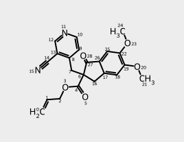 C=CCOC(=O)C1(Cc2ccncc2C#N)Cc2cc(OC)c(OC)cc2C1=O